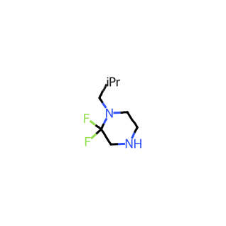 CC(C)CN1CCNCC1(F)F